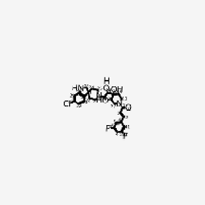 O=C(/C=C/c1cc(F)cc(F)c1)N1CC[C@](O)([C@H](O)CN2CCC3(CC2)CNc2cc(Cl)ccc23)[C@@H](O)C1